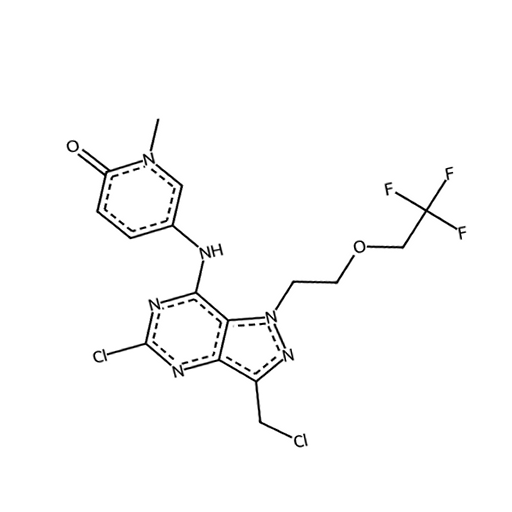 Cn1cc(Nc2nc(Cl)nc3c(CCl)nn(CCOCC(F)(F)F)c23)ccc1=O